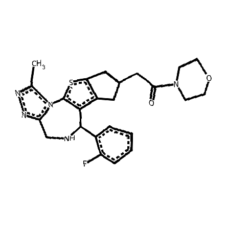 Cc1nnc2n1-c1sc3c(c1C(c1ccccc1F)NC2)CC(CC(=O)N1CCOCC1)C3